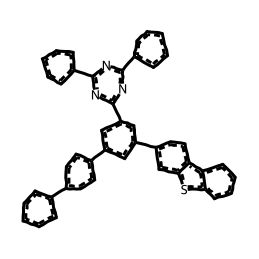 c1ccc(-c2ccc(-c3cc(-c4ccc5c(c4)sc4ccccc45)cc(-c4nc(-c5ccccc5)nc(-c5ccccc5)n4)c3)cc2)cc1